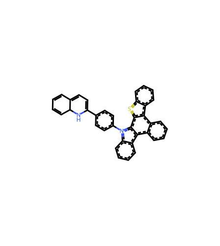 C1=CC2=CC=C(c3ccc(-n4c5ccccc5c5c6ccccc6c6c7ccccc7sc6c54)cc3)NC2C=C1